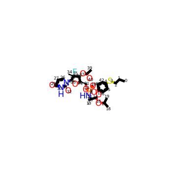 CCCSc1ccc(OP(=O)(N[C@@H](C)C(=O)OC(C)C)OC[C@H]2O[C@@H](n3ccc(=O)[nH]c3=O)[C@](C)(F)[C@@H]2OC(C)=O)cc1